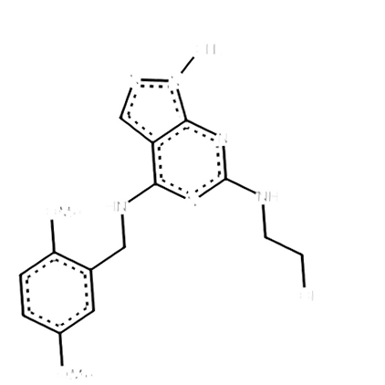 COc1ccc(OC)c(CNc2nc(NCCO)nc3c2cnn3C)c1